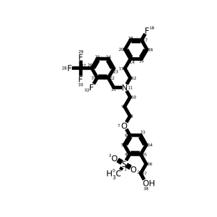 CS(=O)(=O)c1cc(OCCCN(CCc2ccc(F)cc2)Cc2cccc(C(F)(F)F)c2F)ccc1CCO